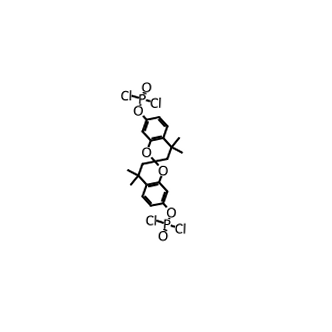 CC1(C)CC2(CC(C)(C)c3ccc(OP(=O)(Cl)Cl)cc3O2)Oc2cc(OP(=O)(Cl)Cl)ccc21